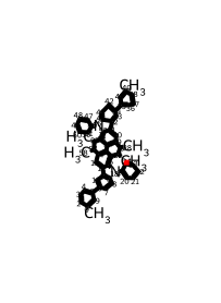 Cc1cccc(-c2ccc3c(c2)c2cc4c5c(c2n3-c2ccccc2)C(C)C(C)c2cc3c6cc(-c7cccc(C)c7)ccc6n(C6C=CC=CC6)c3c(c2-5)C(C)C4C)c1